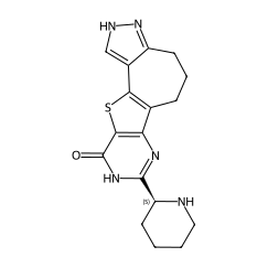 O=c1[nH]c([C@@H]2CCCCN2)nc2c3c(sc12)-c1c[nH]nc1CCC3